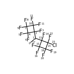 C[C](C1(F)C(F)(F)C(F)(F)C1(F)F)C1(F)C(F)(F)C(F)(F)C1(F)Cl